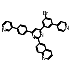 Brc1cc(-c2ccncc2)cc(-c2cc(-c3ccc(-c4cccnc4)cc3)nc(-c3ccc4ncccc4c3)n2)c1